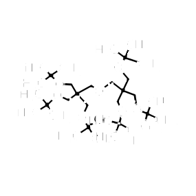 CC(C)(C)OCC(COCC(COC(C)(C)C)(COC(C)(C)C)COC(C)(C)C)(COC(C)(C)C)COC(C)(C)C